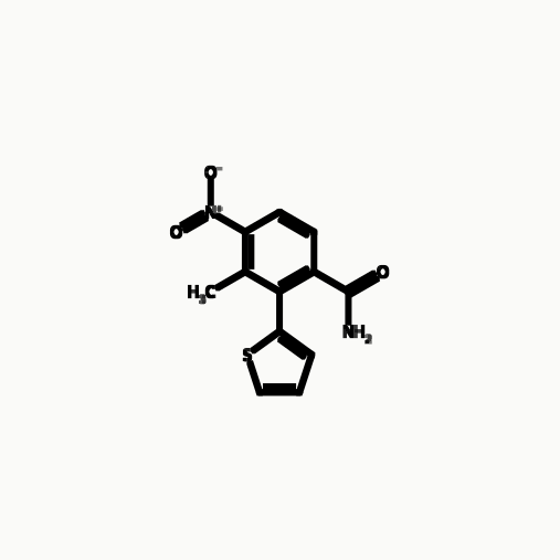 Cc1c([N+](=O)[O-])ccc(C(N)=O)c1-c1cccs1